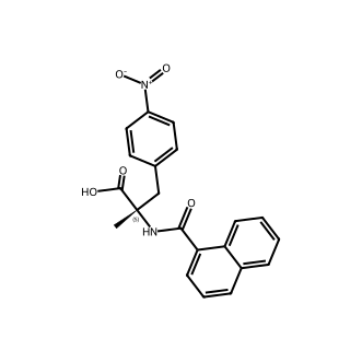 C[C@@](Cc1ccc([N+](=O)[O-])cc1)(NC(=O)c1cccc2ccccc12)C(=O)O